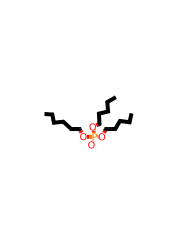 CCCCCCOP(=O)(OCCCCC)OCCCCC